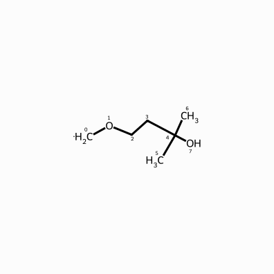 [CH2]OCCC(C)(C)O